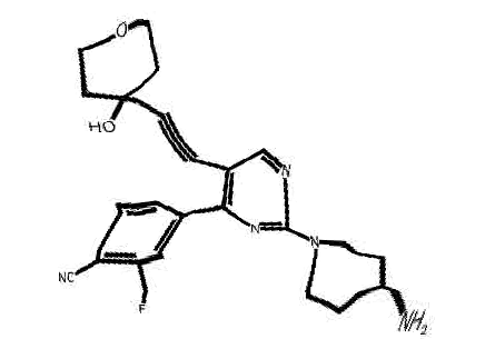 N#Cc1ccc(-c2nc(N3CCC(N)CC3)ncc2C#CC2(O)CCOCC2)cc1F